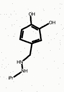 CC(C)NNCc1ccc(O)c(O)c1